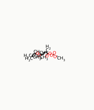 C=C(CCC(C)(C)OOC(C)(C)CC(C)(C)C)C(=O)OOC(=O)OCC